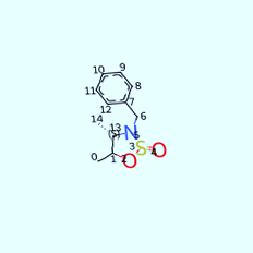 CC1OS(=O)N(Cc2ccccc2)[C@H]1C